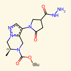 C[C@H]1Cn2ncc(N3CC(C(=O)NN)CC3=O)c2CN1C(=O)OC(C)(C)C